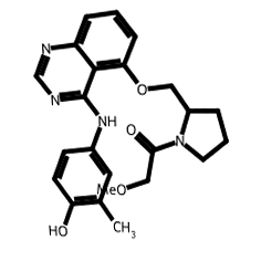 COCC(=O)N1CCCC1COc1cccc2ncnc(Nc3ccc(O)c(C)c3)c12